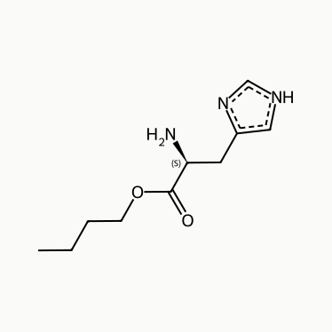 CCCCOC(=O)[C@@H](N)Cc1c[nH]cn1